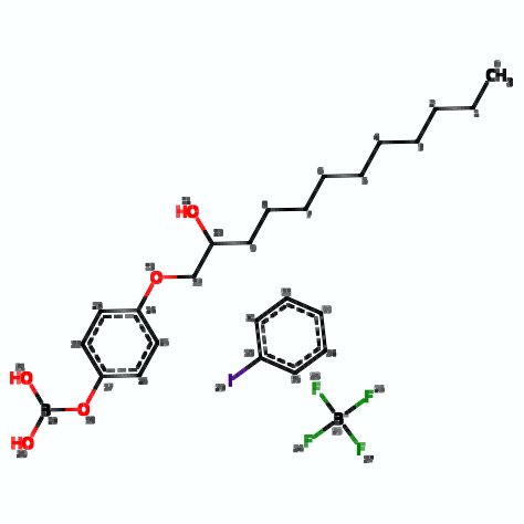 CCCCCCCCCCC(O)COc1ccc(OB(O)O)cc1.F[B-](F)(F)F.Ic1ccccc1